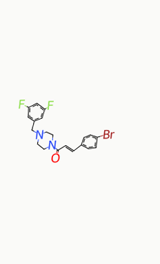 O=C(C=Cc1ccc(Br)cc1)N1CCN(Cc2cc(F)cc(F)c2)CC1